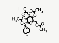 CC(=O)OC[C@H]1O[C@@H](SN2CCSCC2)[C@H](OC(C)=O)[C@@H](OC(C)=O)[C@@H]1OC(C)=O